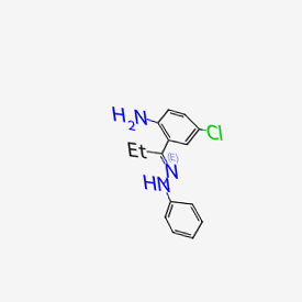 CC/C(=N\Nc1ccccc1)c1cc(Cl)ccc1N